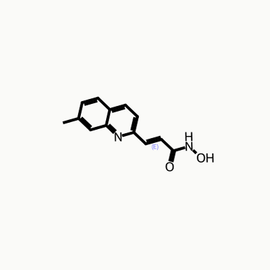 Cc1ccc2ccc(/C=C/C(=O)NO)nc2c1